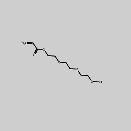 C=CC(=O)OCCOCCOCCON